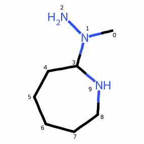 CN(N)C1CCCCCN1